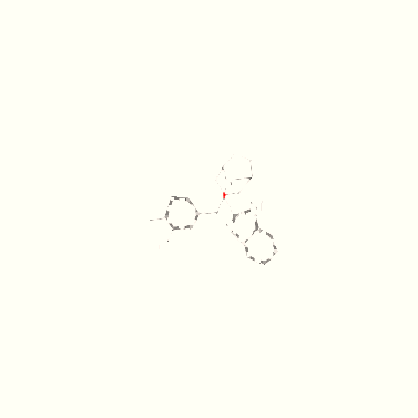 Clc1ccc(CC2CC3CCC(C2)N3Cc2nc3ccccc3[nH]2)cc1Cl